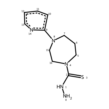 NNC(=S)N1CCCN(c2ccccn2)CC1